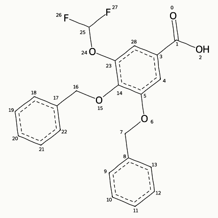 O=C(O)c1cc(OCc2ccccc2)c(OCc2ccccc2)c(OC(F)F)c1